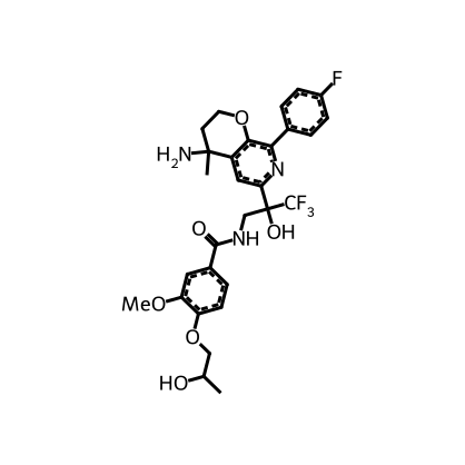 COc1cc(C(=O)NCC(O)(c2cc3c(c(-c4ccc(F)cc4)n2)OCCC3(C)N)C(F)(F)F)ccc1OCC(C)O